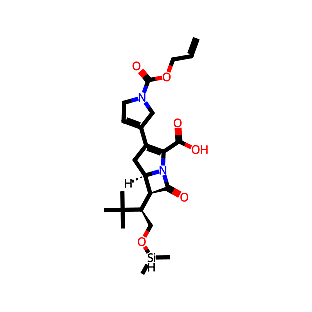 C=CCOC(=O)N1CC=C(C2=C(C(=O)O)N3C(=O)[C@@H]([C@@H](CO[SiH](C)C)C(C)(C)C)[C@H]3C2)C1